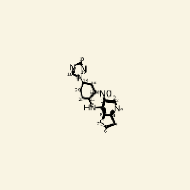 O=[N+]([O-])c1cnc2ccsc2c1NC1CCC(n2cncn2)CC1